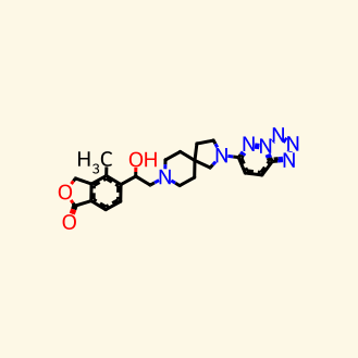 Cc1c(C(O)CN2CCC3(CC2)CCN(c2ccc4nnnn4n2)C3)ccc2c1COC2=O